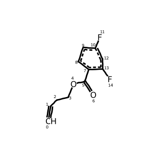 C#CCCOC(=O)c1ccc(F)cc1F